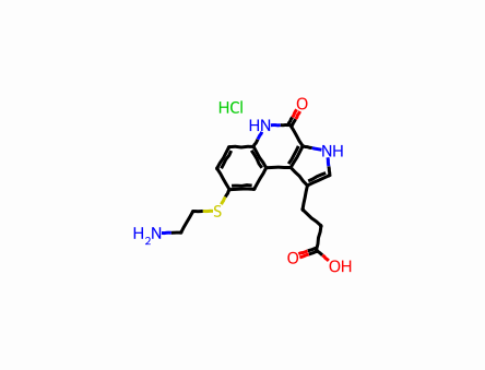 Cl.NCCSc1ccc2[nH]c(=O)c3[nH]cc(CCC(=O)O)c3c2c1